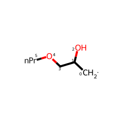 [CH2]C(O)COCCC